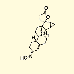 CC[C@]12CCC3C(CCC4=C/C(=N/O)CC[C@@H]43)C1C1CC1[C@@]21CCC(=O)O1